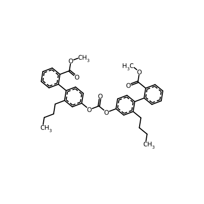 CCCCc1cc(OC(=O)Oc2ccc(-c3ccccc3C(=O)OC)c(CCCC)c2)ccc1-c1ccccc1C(=O)OC